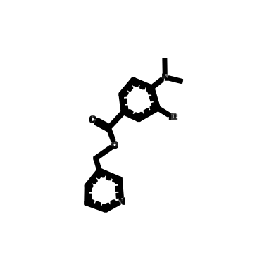 CCc1cc(C(=O)OCc2cccnc2)ccc1N(C)C